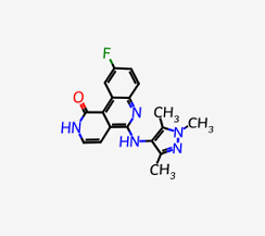 Cc1nn(C)c(C)c1Nc1nc2ccc(F)cc2c2c(=O)[nH]ccc12